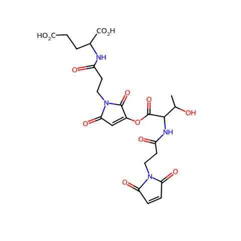 CC(O)C(NC(=O)CCN1C(=O)C=CC1=O)C(=O)OC1=CC(=O)N(CCC(=O)NC(CCC(=O)O)C(=O)O)C1=O